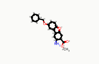 COC(=O)c1cc2oc3ccc(OCc4ccccc4)cc3c2cc1N